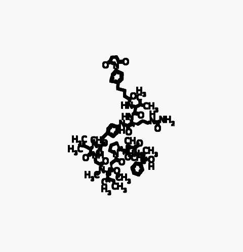 CC[C@H](C)[C@@H]([C@@H](CC(=O)N1CCC[C@H]1[C@H](OC)[C@@H](C)C(=O)N[C@H](C)[C@@H](O)c1ccccc1)OC)N(C)C(=O)CNC(=O)C(C(C)C)N(C)C(=O)OCc1ccc(NC(=O)[C@H](CCCNC(N)=O)NC(=O)C(NC(=O)CCCc2ccc(N3C(=O)CCC3=O)cc2)C(C)C)cc1